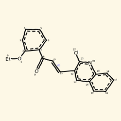 CCOc1ccccc1C(=O)/C=C/c1cc2ccccc2nc1Cl